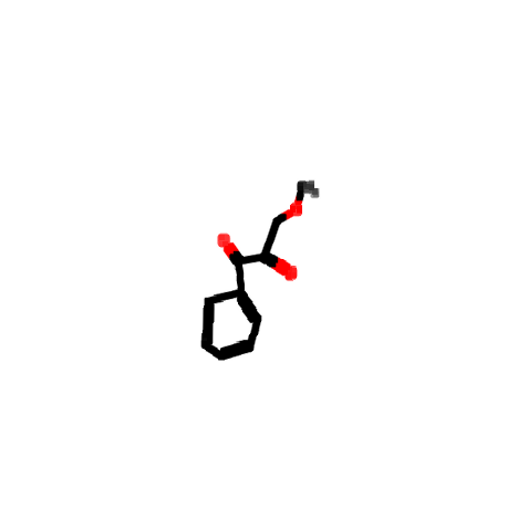 COCC(=O)C(=O)c1ccccc1